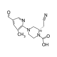 Cc1cc(C=O)cnc1N1CCN(C(=O)O)[C@@H](CC#N)C1